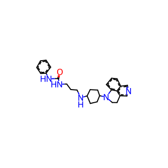 O=C(NCCCNC1CCC(N2CCc3cncc4cccc2c34)CC1)Nc1ccccc1